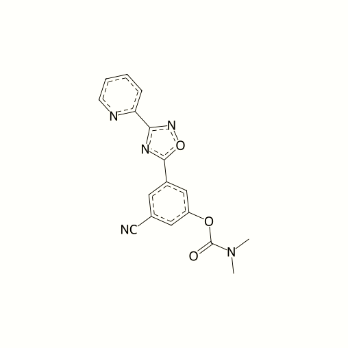 CN(C)C(=O)Oc1cc(C#N)cc(-c2nc(-c3ccccn3)no2)c1